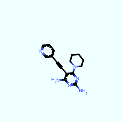 Nc1nc(N)c(C#Cc2cccnc2)c(N2CCCCC2)n1